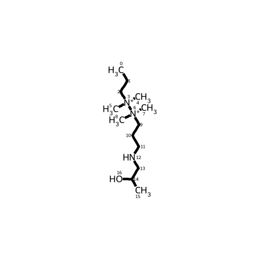 CCC[N+](C)(C)[N+](C)(C)CCCNCC(C)O